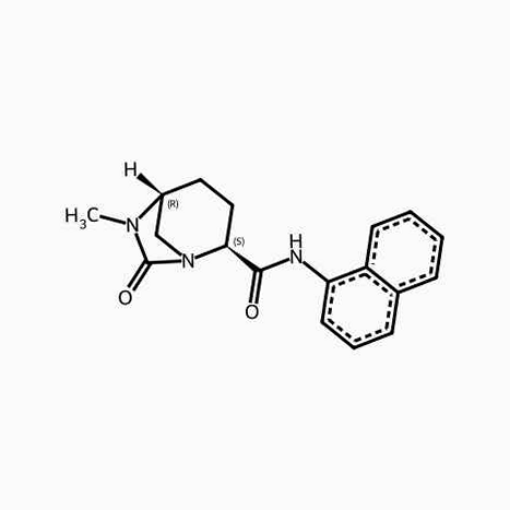 CN1C(=O)N2C[C@H]1CC[C@H]2C(=O)Nc1cccc2ccccc12